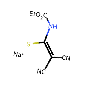 CCOC(=O)NC([S-])=C(C#N)C#N.[Na+]